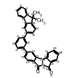 CC1(C)c2ccccc2-c2cc(-c3cccc(-c4ccc5c(=O)n6c(=O)c7ccccc7n6c5c4)c3)ccc21